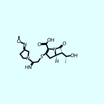 CON=C1CCN(C(=N)CSC2=C(C(=O)O)N3C(=O)[C@H]([C@@H](C)O)[C@H]3C2)C1